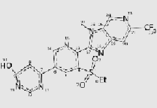 CCS(=O)(=O)c1cc(-c2cc(O)ncn2)cnc1-c1nc2cc(C(F)(F)F)ncc2n1C